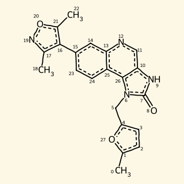 Cc1ccc(Cn2c(=O)[nH]c3cnc4cc(-c5c(C)noc5C)ccc4c32)o1